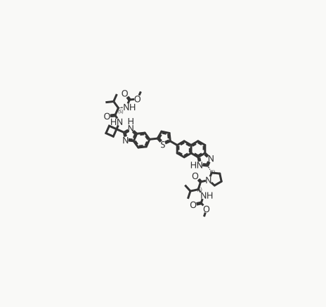 COC(=O)N[C@H](C(=O)NC1(c2nc3ccc(-c4ccc(-c5ccc6c(ccc7nc([C@@H]8CCCN8C(=O)[C@@H](NC(=O)OC)C(C)C)[nH]c76)c5)s4)cc3[nH]2)CCC1)C(C)C